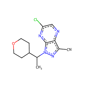 CC(C1CCOCC1)n1nc(C#N)c2ncc(Cl)nc21